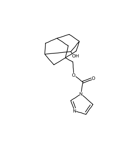 O=C(OCC12CC3CC(C1)C(O)C(C3)C2)n1ccnc1